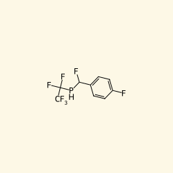 Fc1ccc(C(F)PC(F)(F)C(F)(F)F)cc1